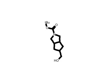 CC(C)(C)OC(=O)N1CC2CC(CO)CC2C1